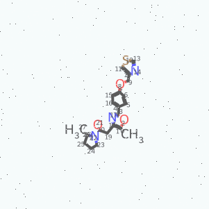 Cc1oc(-c2ccc(OCc3cscn3)cc2)nc1CC(=O)N1CCC[C@H]1C